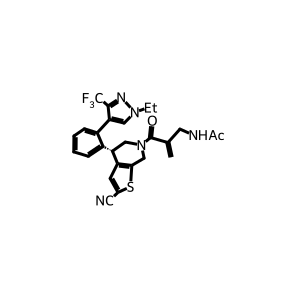 C=C(CNC(C)=O)C(=O)N1Cc2sc(C#N)cc2[C@H](c2ccccc2-c2cn(CC)nc2C(F)(F)F)C1